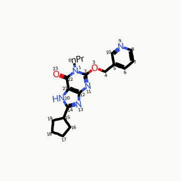 CCCn1c(OCc2cccnc2)nc2nc(C3CCCC3)[nH]c2c1=O